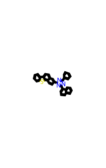 c1ccc(-c2nc(-c3ccc4c(ccc5c6ccccc6sc45)c3)nc(-c3cccc4ccccc34)n2)cc1